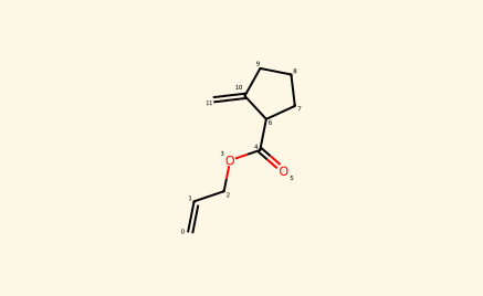 C=CCOC(=O)C1CCCC1=C